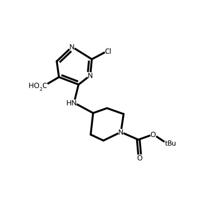 CC(C)(C)OC(=O)N1CCC(Nc2nc(Cl)ncc2C(=O)O)CC1